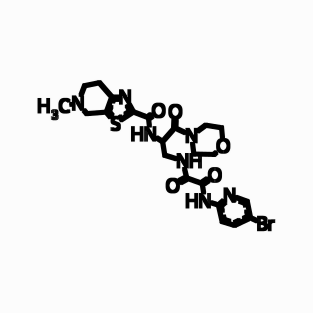 CN1CCc2nc(C(=O)NC(CNC(=O)C(=O)Nc3ccc(Br)cn3)C(=O)N3CCOCC3)sc2C1